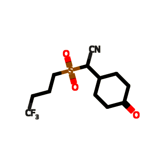 N#CC(C1CCC(=O)CC1)S(=O)(=O)CCCC(F)(F)F